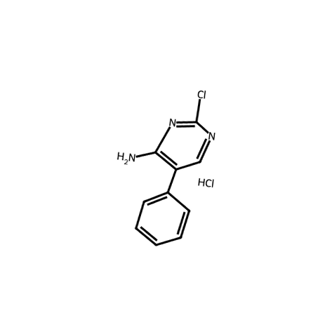 Cl.Nc1nc(Cl)ncc1-c1ccccc1